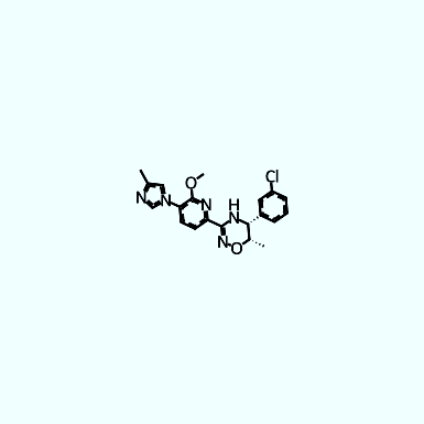 COc1nc(C2=NO[C@@H](C)[C@@H](c3cccc(Cl)c3)N2)ccc1-n1cnc(C)c1